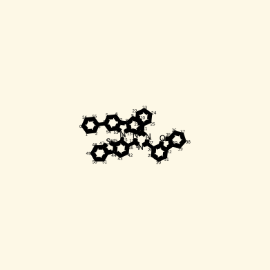 c1ccc(-c2ccc3c4ccccc4n(-c4c(-c5nc(-c6ccccc6)nc(-c6cccc7c6oc6ccccc67)n5)ccc5c4sc4ccccc45)c3c2)cc1